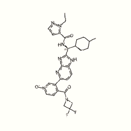 CCn1nccc1C(=O)N[C@H](c1nc2nc(-c3c[n+]([O-])ccc3C(=O)N3CC(F)(F)C3)ccc2[nH]1)C1CCC(C)CC1